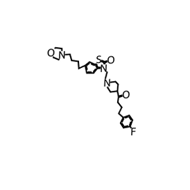 O=C(CCCc1ccc(F)cc1)C1CCN(CCn2c(=O)sc3cc(CCCCN4CCOCC4)ccc32)CC1